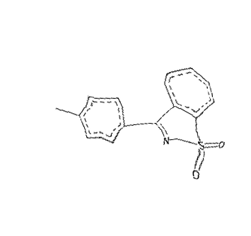 Cc1ccc(C2=NS(=O)(=O)c3ccccc32)cc1